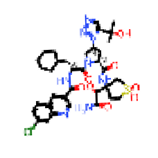 CC(C)(O)c1cnnn1[C@H]1C[C@@H](C(=O)NC2(C(=O)C(N)=O)CCS(=O)(=O)CC2)N(C(=O)[C@@H](CC2CCCCC2)NC(=O)c2cnc3cc(Cl)ccc3c2)C1